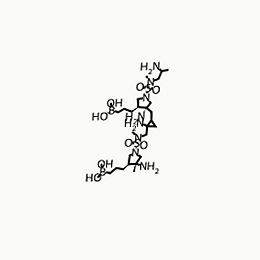 CC(N)CN(C)S(=O)(=O)N1C[C@H](CCCB(O)O)[C@](N)(CC2CC2(N)CN(C)S(=O)(=O)N2C[C@H](CCCB(O)O)[C@@](C)(N)C2)C1